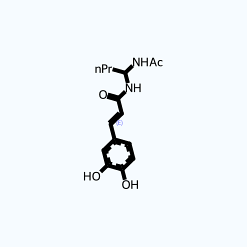 CCCC(NC(C)=O)NC(=O)/C=C/c1ccc(O)c(O)c1